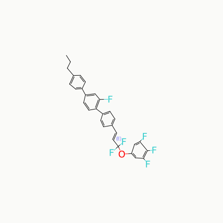 CCCc1ccc(-c2ccc(-c3ccc(/C=C/C(F)(F)Oc4cc(F)c(F)c(F)c4)cc3)c(F)c2)cc1